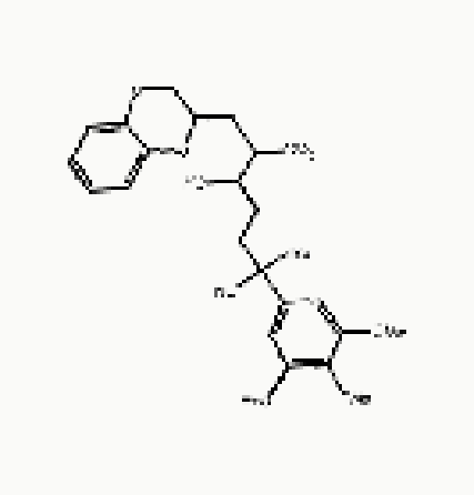 CCC(C)C(C#N)(CCC(O)C(CC1COc2ccccc2O1)[N+](=O)[O-])c1cc(OC)c(OC)c(OC)c1